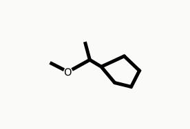 COC(C)C1CCCC1